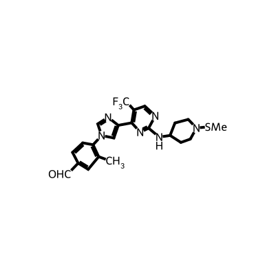 CSN1CCC(Nc2ncc(C(F)(F)F)c(-c3cn(-c4ccc(C=O)cc4C)cn3)n2)CC1